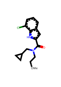 COCCN(CC1CC1)C(=O)c1cc2cccc(Cl)c2[nH]1